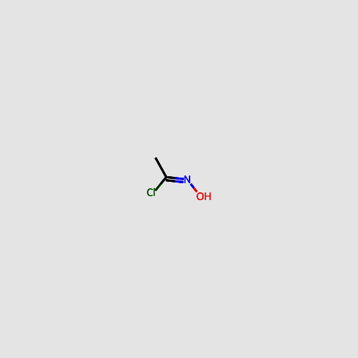 C/C(Cl)=N/O